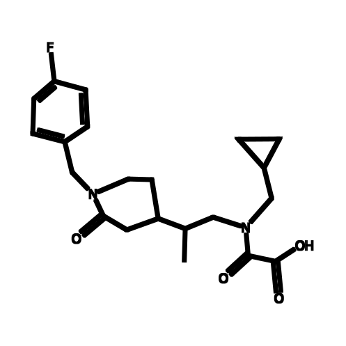 CC(CN(CC1CC1)C(=O)C(=O)O)C1CCN(Cc2ccc(F)cc2)C(=O)C1